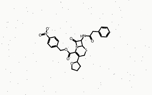 O=C(Cc1ccccc1)NC1C(=O)N2C(C(=O)OCc3ccc([N+](=O)[O-])cc3)=C(C3CCCO3)CSC12